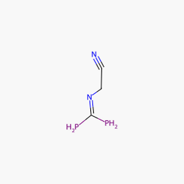 N#CCN=C(P)P